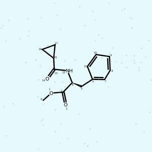 COC(=O)[C@H](Cc1ccccc1)NC(=O)C1CC1